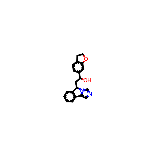 OC(CC1c2ccccc2-c2cncn21)c1ccc2c(c1)OCC2